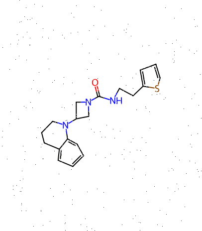 O=C(NCCc1cccs1)N1CC(N2CCCc3ccccc32)C1